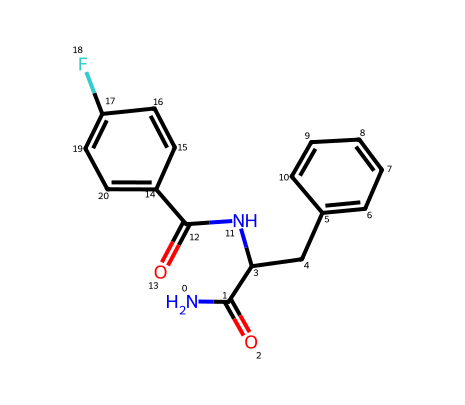 NC(=O)C(Cc1ccccc1)NC(=O)c1ccc(F)cc1